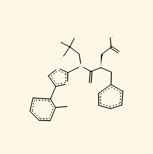 O=C(O)C[C@@H](Cc1ccccc1)C(=O)N(CC(F)(F)F)c1nc(-c2ccccc2Cl)cs1